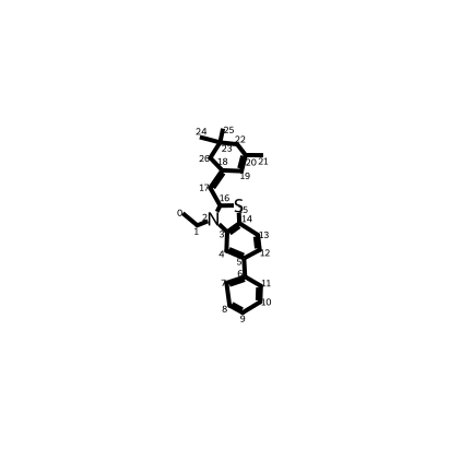 CCN1c2cc(-c3ccccc3)ccc2SC1C=C1C=C(C)CC(C)(C)C1